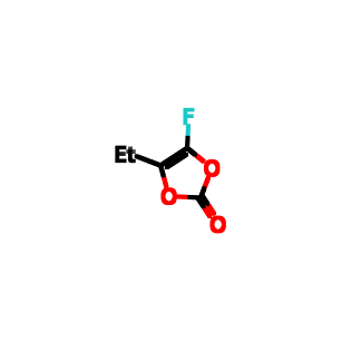 CCc1oc(=O)oc1F